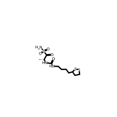 C[C@@H](NC(=O)NCCCCC1CCSS1)C(=O)S(N)(=O)=O